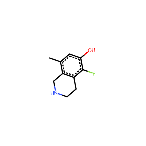 Cc1cc(O)c(F)c2c1CNCC2